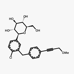 COCC#Cc1ccc(Cc2cc([C@@H]3O[C@H](CO)[C@@H](O)[C@H](O)[C@H]3O)ccc2Cl)cc1